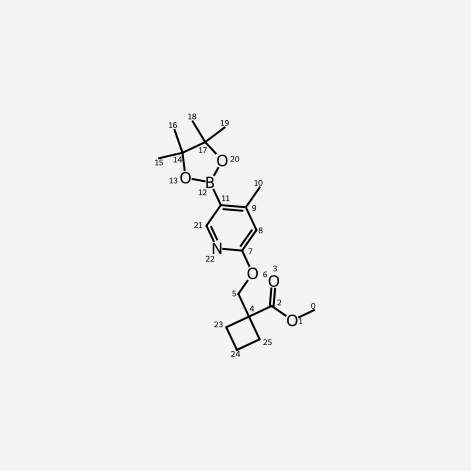 COC(=O)C1(COc2cc(C)c(B3OC(C)(C)C(C)(C)O3)cn2)CCC1